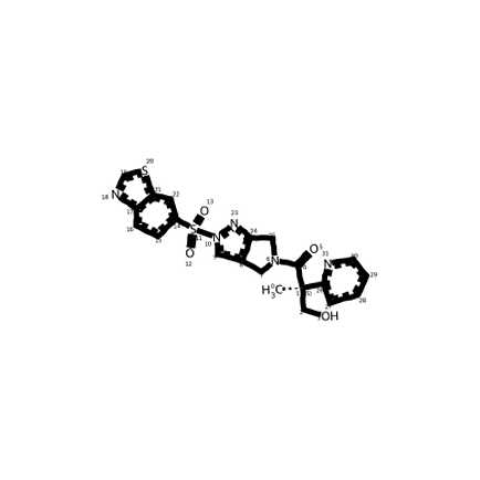 C[C@](CO)(C(=O)N1Cc2cn(S(=O)(=O)c3ccc4ncsc4c3)nc2C1)c1ccccn1